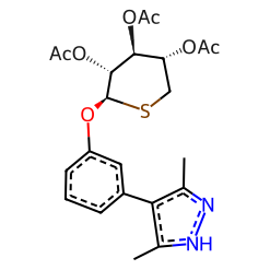 CC(=O)O[C@@H]1[C@@H](OC(C)=O)[C@H](OC(C)=O)CS[C@H]1Oc1cccc(-c2c(C)n[nH]c2C)c1